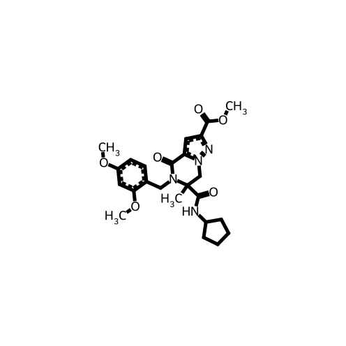 COC(=O)c1cc2n(n1)CC(C)(C(=O)NC1CCCC1)N(Cc1ccc(OC)cc1OC)C2=O